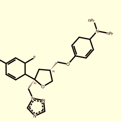 CCCN(CCC)C1C=CC(OC[C@@H]2CO[C@@](Cn3cncn3)(C3C=CC(F)=CC3F)C2)=CC1